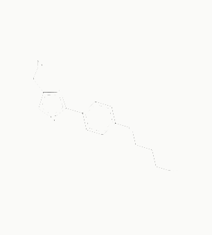 NCc1cnc(-c2ccc(OCCCBr)cc2)s1